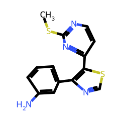 CSc1nccc(-c2scnc2-c2cccc(N)c2)n1